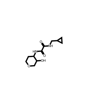 O=C(NCC1CC1)C(=O)NC1CCOCC1O